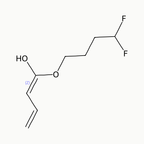 C=C/C=C(/O)OCCCC(F)F